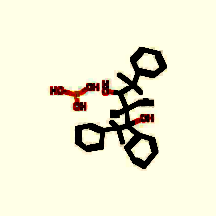 CCCCC(CC)(C(O)C(C)(C)c1ccccc1)C(O)(c1ccccc1)C(C)(C)c1ccccc1.OP(O)O